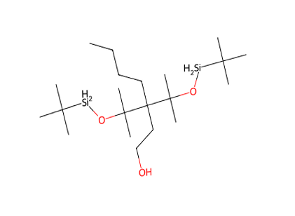 CCCCC(CCO)(C(C)(C)O[SiH2]C(C)(C)C)C(C)(C)O[SiH2]C(C)(C)C